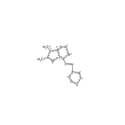 Cc1nc2c(/C=C/c3ccccc3)nccn2c1C